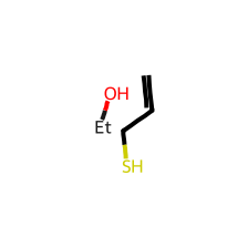 C=CCS.CCO